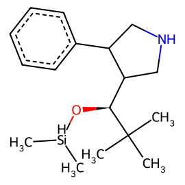 C[SiH](C)O[C@@H](C1CNCC1c1ccccc1)C(C)(C)C